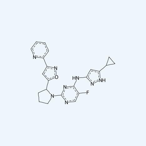 Fc1cnc(N2CCCC2c2cc(-c3ccccn3)no2)nc1Nc1cc(C2CC2)[nH]n1